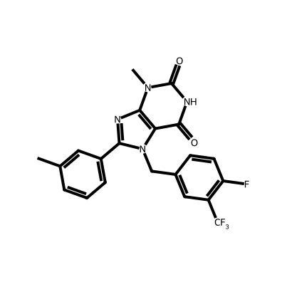 Cc1cccc(-c2nc3c(c(=O)[nH]c(=O)n3C)n2Cc2ccc(F)c(C(F)(F)F)c2)c1